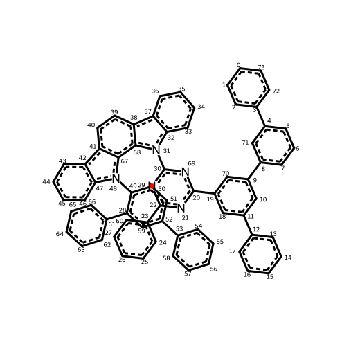 c1ccc(-c2cccc(-c3cc(-c4ccccc4)cc(-c4nc(-c5ccccc5)nc(-n5c6ccccc6c6ccc7c8ccccc8n(-c8ccc(-c9ccccc9)cc8-c8ccccc8)c7c65)n4)c3)c2)cc1